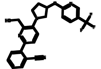 N#Cc1ccccc1-c1ccc(N2CCC(Oc3ccc(C(F)(F)F)cn3)C2)c(CO)n1